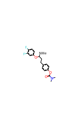 CNC(CCc1ccc(OC(=O)N(C)C)cc1)Oc1ccc(F)c(F)c1